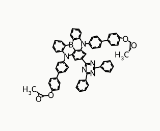 CC1OC1Oc1ccc(-c2ccc(N3c4ccccc4B4c5ccccc5N(c5ccc(-c6ccc(OC7OC7C)cc6)cc5)c5cc(-c6nc(-c7ccccc7)nc(-c7ccccc7)n6)cc3c54)cc2)cc1